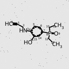 C#CCNc1ccc(P(=O)(CC)CC)cc1O